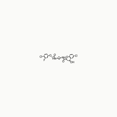 O=C(COc1ccc(Cl)c(F)c1)NC12CC(NC(=O)[C@@H]3C[C@H](O)c4cc(Cl)ccc4O3)(C1)C2